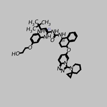 CC(C)(C)C(=N)/C=C(/NC(=O)N[C@H]1CCC(Oc2ccc3nnc(N4CCCCC45CC5)n3c2)c2ccccc21)Nc1cccc(OCCO)c1